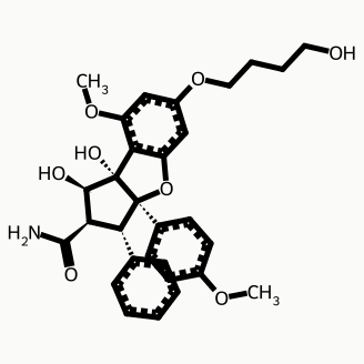 COc1ccc([C@@]23Oc4cc(OCCCCO)cc(OC)c4[C@]2(O)[C@H](O)[C@H](C(N)=O)[C@H]3c2ccccc2)cc1